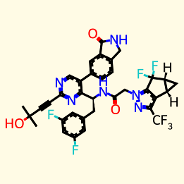 CC(C)(O)C#Cc1ncc(-c2ccc3c(c2)C(=O)NC3)c([C@H](Cc2cc(F)cc(F)c2)NC(=O)Cn2nc(C(F)(F)F)c3c2C(F)(F)[C@@H]2C[C@H]32)n1